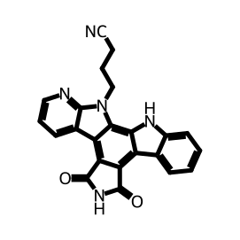 N#CCCCn1c2ncccc2c2c3c(c4c5ccccc5[nH]c4c21)C(=O)NC3=O